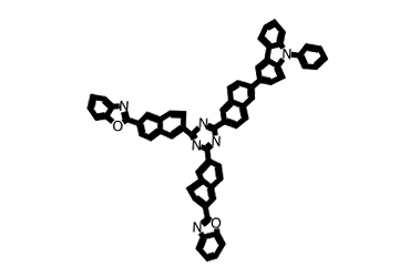 c1ccc(-n2c3ccccc3c3cc(-c4ccc5cc(-c6nc(-c7ccc8cc(-c9nc%10ccccc%10o9)ccc8c7)nc(-c7ccc8cc(-c9nc%10ccccc%10o9)ccc8c7)n6)ccc5c4)ccc32)cc1